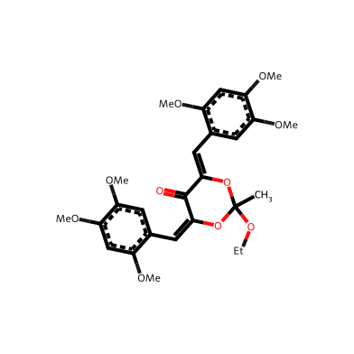 CCOC1(C)OC(=Cc2cc(OC)c(OC)cc2OC)C(=O)C(=Cc2cc(OC)c(OC)cc2OC)O1